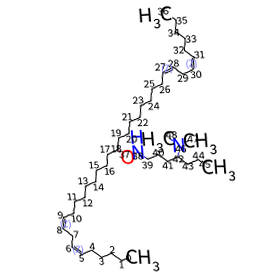 CCCCC/C=C\C/C=C\CCCCCCCCC(CCCCCCCC/C=C\C/C=C\CCCCC)ONCCCC(CCC)N(C)C